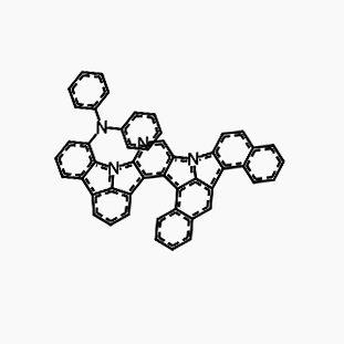 c1ccc(N(c2ccccc2)c2cccc3c4cccc5c6c7c8c9ccccc9cc9c%10c%11ccccc%11ccc%10n(c7cnc6n(c23)c45)c98)cc1